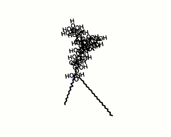 CCCCCCCCCCCCC/C=C/[C@@H](O)[C@H](CO[C@@H]1OC(CO)[C@@H](O[C@@H]2OC(CO)[C@H](O[C@@H]3OC(CO)[C@H](O)[C@H](O[C@@H]4OC(CO)[C@H](O[C@@H]5OC(CO)[C@H](O)[C@H](O[C@@H]6OC(CO)[C@H](O)[C@H](O)C6O)C5NC(C)=O)[C@H](O[C@]5(C(=O)O)CC(O)[C@@H](NC(C)=O)C([C@H](O)[C@H](O)CO)O5)C4O)C3NC(C)=O)[C@H](O)C2O)[C@H](O)C1O)NC(=O)CCCCCCCCCCCCCCCCCCCCCCCCC